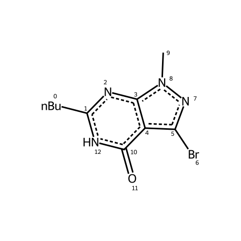 CCCCc1nc2c(c(Br)nn2C)c(=O)[nH]1